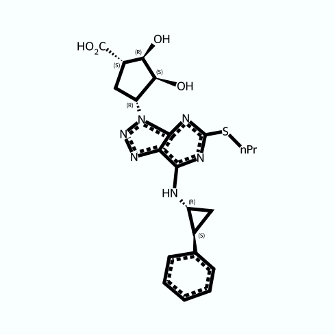 CCCSc1nc(N[C@@H]2C[C@H]2c2ccccc2)c2nnn([C@@H]3C[C@H](C(=O)O)[C@@H](O)[C@H]3O)c2n1